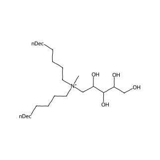 CCCCCCCCCCCCCC[N+](C)(CCCCCCCCCCCCCC)CC(O)C(O)C(O)CO